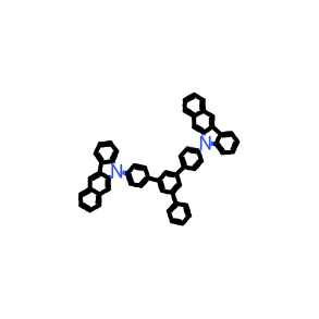 c1ccc(-c2cc(-c3ccc(-n4c5ccccc5c5cc6ccccc6cc54)cc3)cc(-c3ccc(-n4c5ccccc5c5cc6ccccc6cc54)cc3)c2)cc1